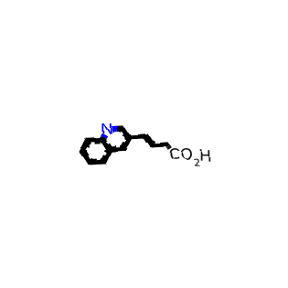 O=C(O)CC=Cc1cnc2ccccc2c1